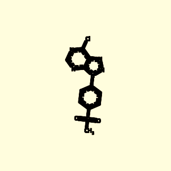 CS(=O)(=O)c1ccc(-n2nnc3c(Cl)ncnc32)cc1